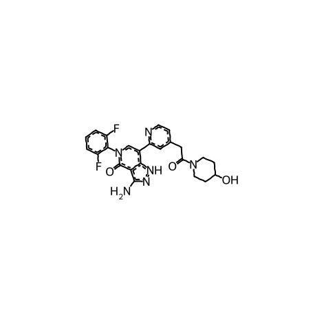 Nc1n[nH]c2c(-c3cc(CC(=O)N4CCC(O)CC4)ccn3)cn(-c3c(F)cccc3F)c(=O)c12